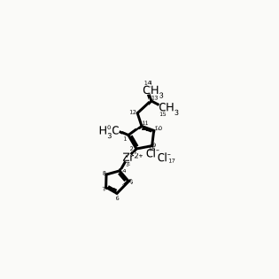 CC1=[C]([Zr+2][C]2=CC=CC2)CC=C1CC(C)C.[Cl-].[Cl-]